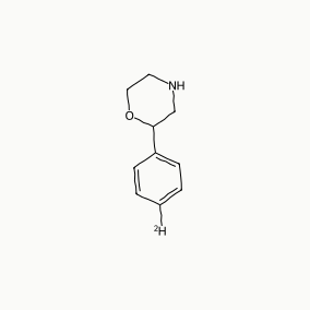 [2H]c1ccc(C2CNCCO2)cc1